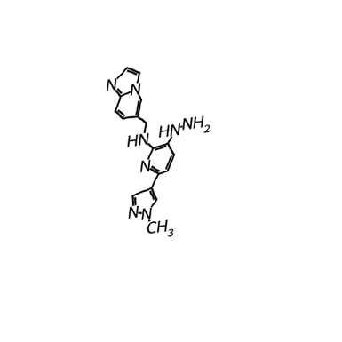 Cn1cc(-c2ccc(NN)c(NCc3ccc4nccn4c3)n2)cn1